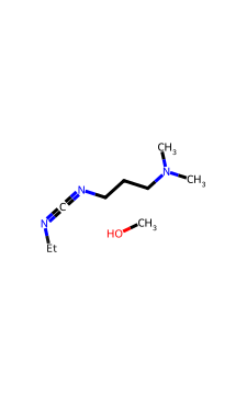 CCN=C=NCCCN(C)C.CO